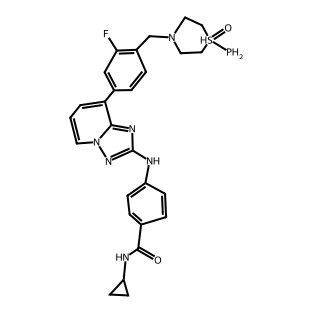 O=C(NC1CC1)c1ccc(Nc2nc3c(-c4ccc(CN5CC[SH](=O)(P)CC5)c(F)c4)cccn3n2)cc1